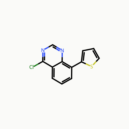 Clc1ncnc2c(-c3cccs3)cccc12